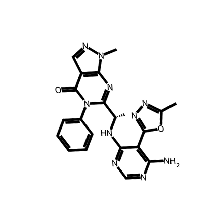 Cc1nnc(-c2c(N)ncnc2N[C@@H](C)c2nc3c(cnn3C)c(=O)n2-c2ccccc2)o1